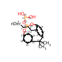 CCCCCCCCCCCCCc1cc2ccc1OP(OP(O)O)Oc1ccc(cc1)C2(C)C